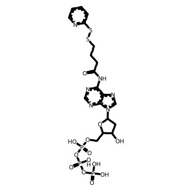 O=C(CCCSSc1ccccn1)Nc1ncnc2c1ncn2C1CC(O)C(COP(=O)(O)OP(=O)(O)OP(=O)(O)O)O1